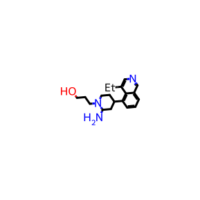 CCc1cncc2cccc(C3CCN(CCCO)C(N)C3)c12